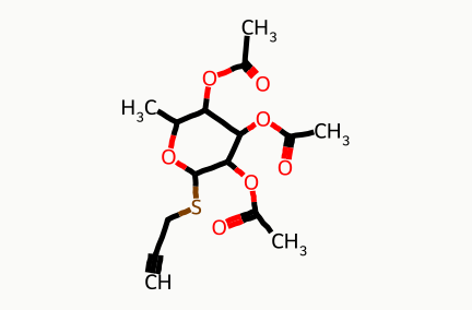 C#CCSC1OC(C)C(OC(C)=O)C(OC(C)=O)C1OC(C)=O